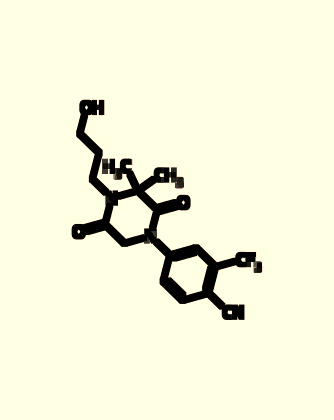 CC1(C)C(=O)N(c2ccc(C#N)c(C(F)(F)F)c2)CC(=O)N1CCCO